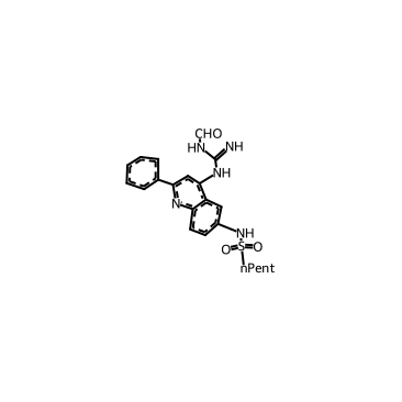 CCCCCS(=O)(=O)Nc1ccc2nc(-c3ccccc3)cc(NC(=N)NC=O)c2c1